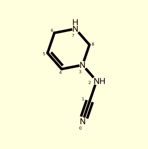 N#CNN1C=CCNC1